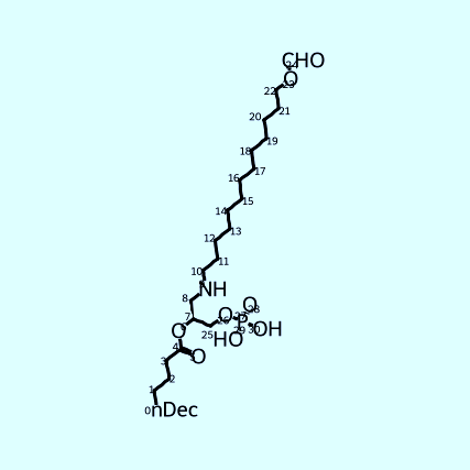 CCCCCCCCCCCCCC(=O)O[C@@H](CNCCCCCCCCCCCCCOC=O)COP(=O)(O)O